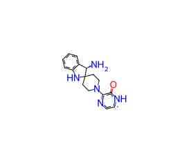 N[C@@H]1c2ccccc2NC12CCN(c1nc[c][nH]c1=O)CC2